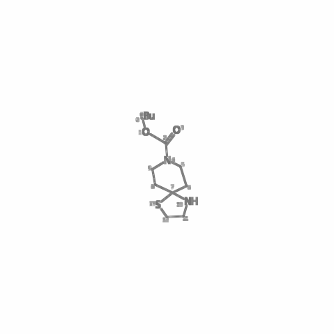 CC(C)(C)OC(=O)N1CCC2(CC1)NCCS2